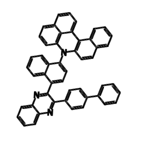 c1ccc(-c2ccc(-c3nc4ccccc4nc3-c3ccc(N4c5ccc6ccccc6c5-c5cccc6cccc4c56)c4ccccc34)cc2)cc1